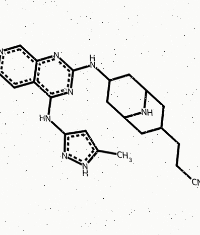 Cc1cc(Nc2nc(NC3CC4CC(CCC#N)CC(C3)N4)nc3cnccc23)n[nH]1